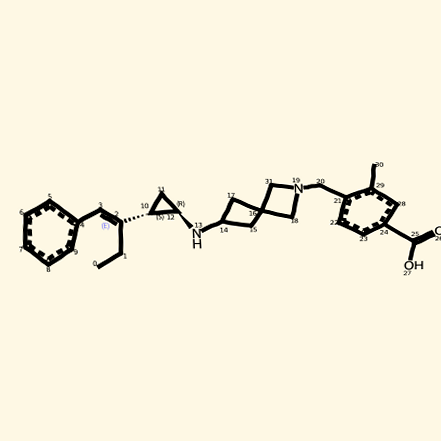 CC/C(=C\c1ccccc1)[C@@H]1C[C@H]1NC1CC2(C1)CN(Cc1ccc(C(=O)O)cc1C)C2